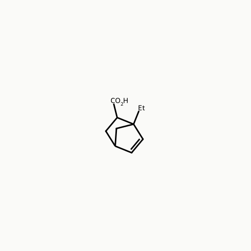 CCC12C=CC(CC1C(=O)O)C2